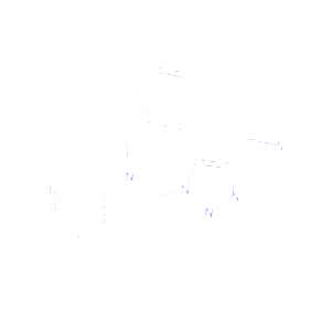 CN(C)Cc1nnn2c1-c1ccccc1CN(c1ccccc1)C2